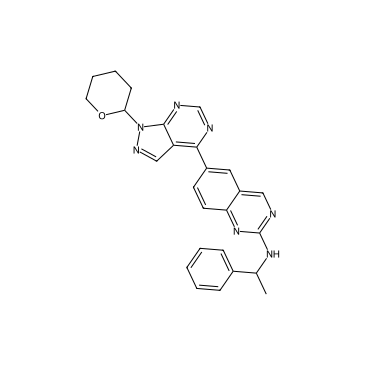 CC(Nc1ncc2cc(-c3ncnc4c3cnn4C3CCCCO3)ccc2n1)c1ccccc1